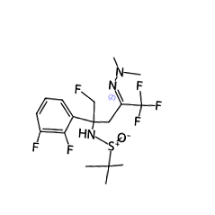 CN(C)/N=C(/CC(CF)(N[S+]([O-])C(C)(C)C)c1cccc(F)c1F)C(F)(F)F